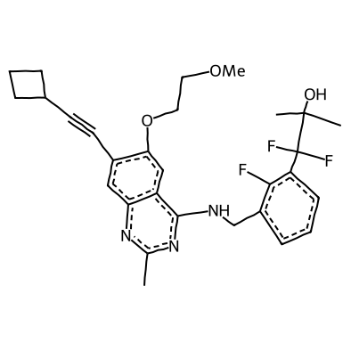 COCCOc1cc2c(NCc3cccc(C(F)(F)C(C)(C)O)c3F)nc(C)nc2cc1C#CC1CCC1